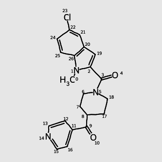 Cn1c(C(=O)N2CCC(C(=O)c3ccncc3)CC2)cc2cc(Cl)ccc21